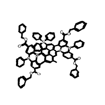 Cc1cc2c3c(cc4c([Si](c5ccccc5)(c5ccccc5)c5ccccc5)cc5c6c(cc1c3c46)B1c3ccc(C(=O)OCc4ccccc4)cc3N(c3ccccc3)c3cc(C(=O)OCc4ccccc4)cc-5c31)B1c3ccc(C(=O)OCc4ccccc4)cc3N(c3ccccc3)c3cc(C(=O)OCc4ccccc4)cc-2c31